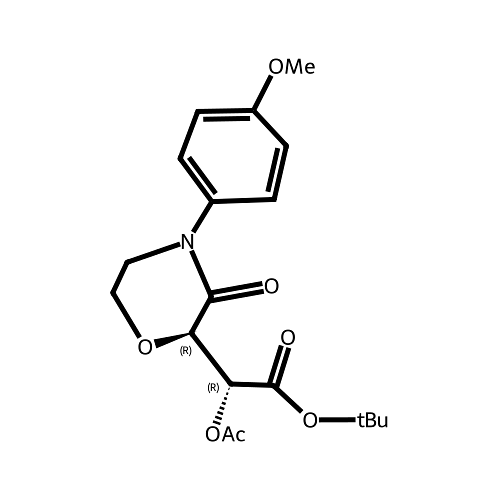 COc1ccc(N2CCO[C@H]([C@@H](OC(C)=O)C(=O)OC(C)(C)C)C2=O)cc1